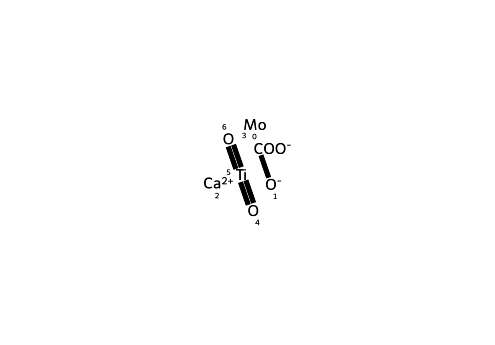 O=C([O-])[O-].[Ca+2].[Mo].[O]=[Ti]=[O]